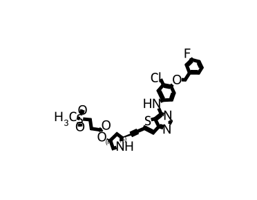 CS(=O)(=O)CCC(=O)O[C@H]1CN[C@H](C#Cc2cc3ncnc(Nc4ccc(OCc5cccc(F)c5)c(Cl)c4)c3s2)C1